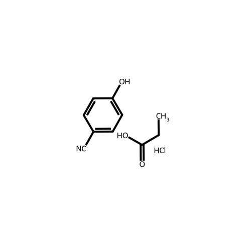 CCC(=O)O.Cl.N#Cc1ccc(O)cc1